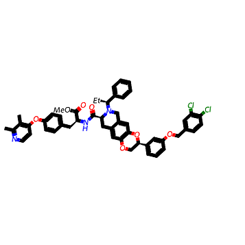 CC[C@@H](c1ccccc1)N1Cc2cc3c(cc2C[C@H]1C(=O)N[C@@H](Cc1ccc(Oc2ccnc(C)c2C)cc1)C(=O)OC)OC[C@H](c1cccc(OCc2ccc(Cl)c(Cl)c2)c1)O3